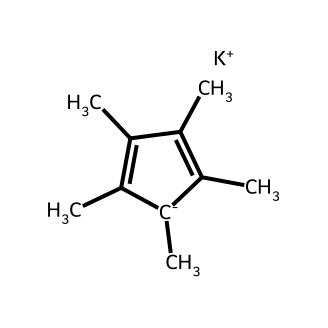 Cc1c(C)c(C)[c-](C)c1C.[K+]